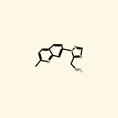 Cc1ccc2ccc(-n3ncnc3CN)cc2n1